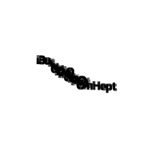 CCCCCCCC1COC(c2ccc(OC(=O)c3ccc(OCCCC(C)CC)cc3)cc2)OC1